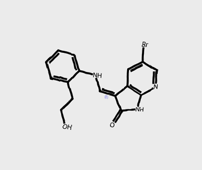 O=C1Nc2ncc(Br)cc2/C1=C\Nc1ccccc1CCO